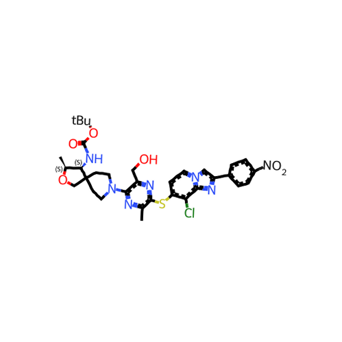 Cc1nc(N2CCC3(CC2)CO[C@@H](C)[C@H]3NC(=O)OC(C)(C)C)c(CO)nc1Sc1ccn2cc(-c3ccc([N+](=O)[O-])cc3)nc2c1Cl